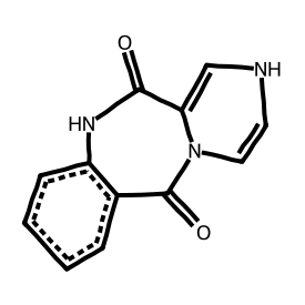 O=C1Nc2ccccc2C(=O)N2C=CNC=C12